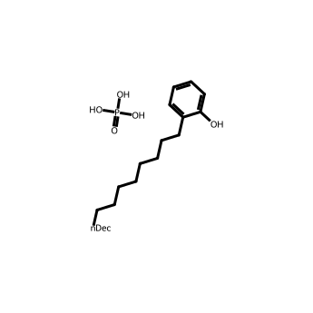 CCCCCCCCCCCCCCCCCCc1ccccc1O.O=P(O)(O)O